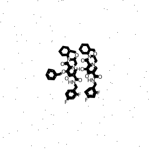 O=C(NCc1ccc(F)cc1F)c1cn2c(c(O)c1=O)C(=O)N1C(C2)OCC2CCCCC21.O=C(NCc1ccc(F)cc1F)c1cn2c(c(OCc3ccccc3)c1=O)C(=O)N1C(C2)OCC2CCCCC21